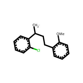 [CH2]C(CCc1ccccc1OC)c1ccccc1Cl